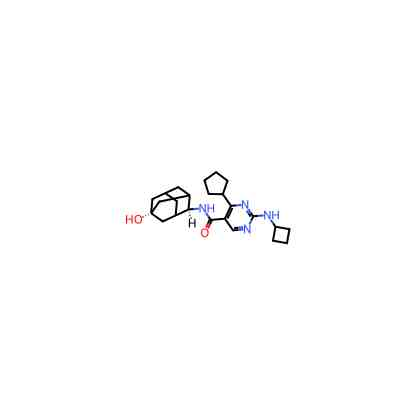 O=C(N[C@H]1C2CC3CC1C[C@](O)(C3)C2)c1cnc(NC2CCC2)nc1C1CCCC1